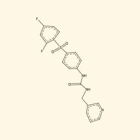 O=C(NCc1cccnc1)Nc1ccc(S(=O)(=O)c2ccc(F)cc2F)cc1